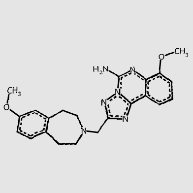 COc1ccc2c(c1)CCN(Cc1nc3c4cccc(OC)c4nc(N)n3n1)CC2